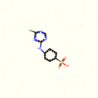 O=S(=O)(O)c1ccc(Nc2n[c]nc(Cl)n2)cc1